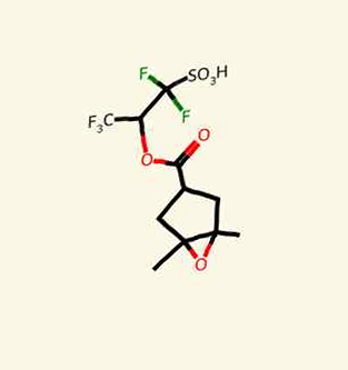 CC12CC(C(=O)OC(C(F)(F)F)C(F)(F)S(=O)(=O)O)CC1(C)O2